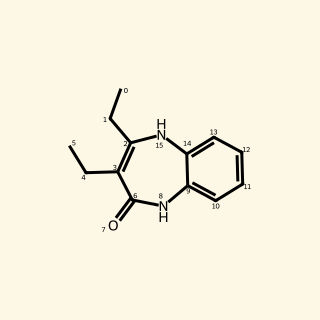 CCC1=C(CC)C(=O)Nc2ccccc2N1